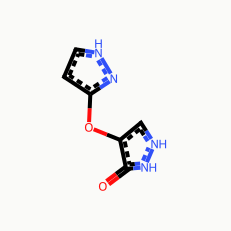 O=c1[nH][nH]cc1Oc1cc[nH]n1